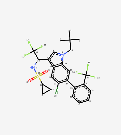 CC(C)(C)Cn1cc([C@H](NS(=O)(=O)C2CC2)C(F)(F)F)c2cc(Cl)c(-c3ccccc3C(F)(F)F)cc21